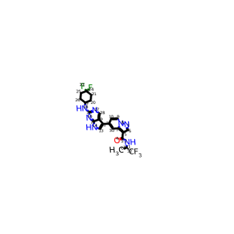 C[C@@H](NC(=O)c1cnn2ccc(-c3c[nH]c4nc(NC5CCC(F)(F)CC5)ncc34)cc12)C(F)(F)F